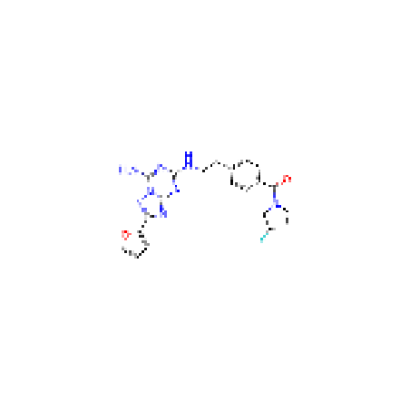 Nc1nc(NCCc2ccc(C(=O)N3CC[C@@H](F)C3)cc2)nc2nc(-c3ccco3)nn12